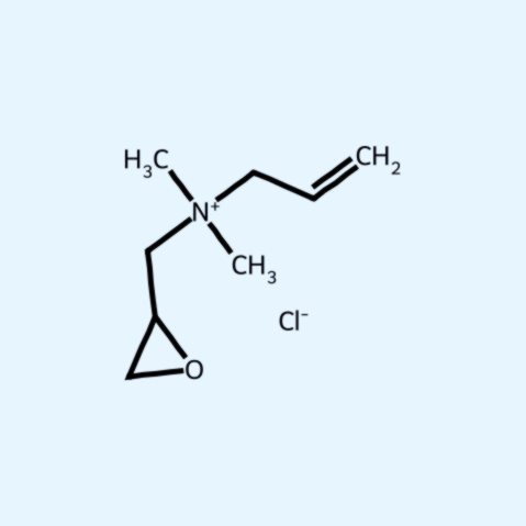 C=CC[N+](C)(C)CC1CO1.[Cl-]